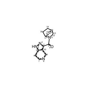 O=C(c1n[nH]c2ccncc12)N1CCN2CCC1CC2